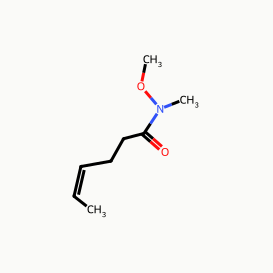 C/C=C\CCC(=O)N(C)OC